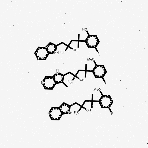 CC(C)(CC(O)(Cc1cc2ccncc2[nH]1)C(F)(F)F)c1cc(F)ccc1O.COc1ccc(F)cc1C(C)(C)CC(O)(Cc1[nH]c2cnccc2c1C)C(F)(F)F.COc1ccc(F)cc1C(C)(C)CC(O)(Cc1cc2cnccc2[nH]1)C(F)(F)F